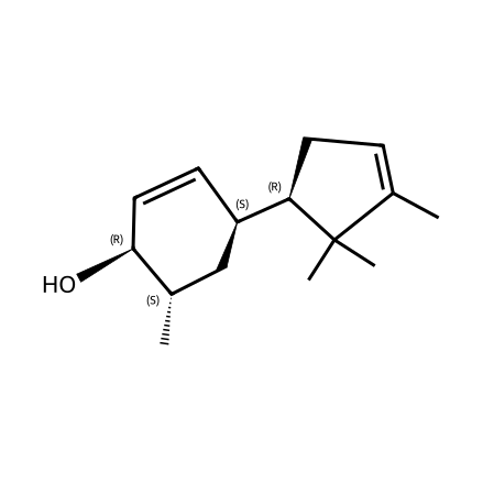 CC1=CC[C@H]([C@@H]2C=C[C@H](O)[C@@H](C)C2)C1(C)C